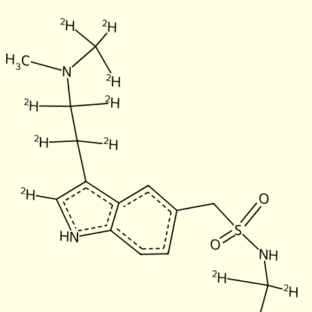 [2H]c1[nH]c2ccc(CS(=O)(=O)NC([2H])([2H])[2H])cc2c1C([2H])([2H])C([2H])([2H])N(C)C([2H])([2H])[2H]